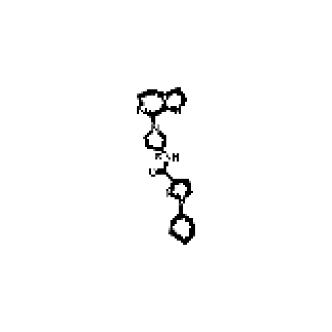 O=C(N[C@H]1CCN(c2nccn3ccnc23)C1)c1ccn(-c2ccccc2)n1